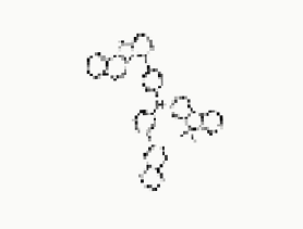 CC1(C)c2ccccc2-c2ccc(N(c3ccc(-c4cccc5oc6c7ccccc7ccc6c45)cc3)c3cccc(-c4ccc5ccccc5c4)c3)cc21